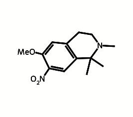 COc1cc2c(cc1[N+](=O)[O-])C(C)(C)N(C)CC2